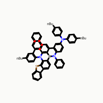 CCCCc1ccc(N(c2ccc(CCCC)cc2)c2ccc3c(c2)-c2cc(-c4ccccc4)cc4c2B(c2ccc5c(sc6ccccc65)c2N4c2ccc(CCCC)cc2-c2ccccc2)N3c2ccccc2)cc1